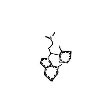 Cc1cccnc1C(CCN(C)C)n1ccc2cccc(C)c21